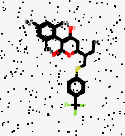 CCC(CSc1ccc(C(F)(F)F)cc1)C1CC(O)=C(c2c(C)cc(C)cc2C)C(=O)O1